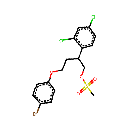 CS(=O)(=O)OCC(CCOc1ccc(Br)cc1)c1ccc(Cl)cc1Cl